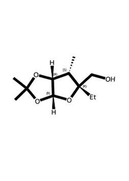 CC[C@@]1(CO)O[C@@H]2OC(C)(C)O[C@@H]2[C@@H]1C